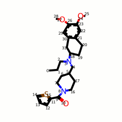 CCCN(CC1CCN(C(=O)c2cccs2)CC1)C1CCc2cc(OC)c(OC)cc2C1